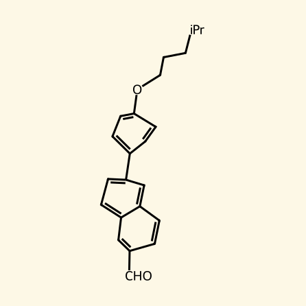 CC(C)CCCOc1ccc(-c2ccc3cc(C=O)ccc3c2)cc1